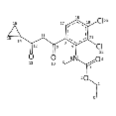 CCOC(=O)N(C)c1c(C(=O)CC(=O)C2CC2)ccc(Cl)c1Cl